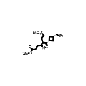 CCOC(=O)/C=C/c1c(CCC(=O)OC(C)(C)C)noc1[C@H]1C[C@@H](CC(C)C)C1